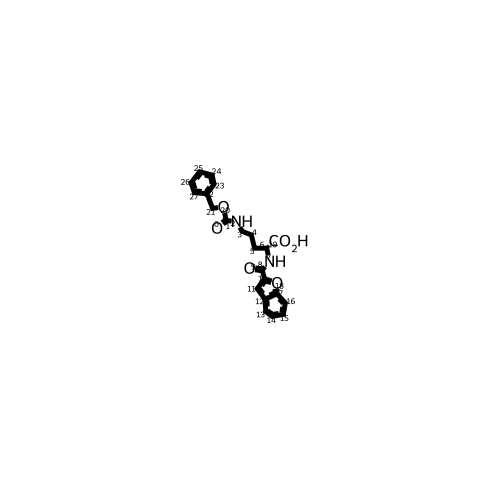 O=C(NCCC[C@H](NC(=O)c1cc2ccccc2o1)C(=O)O)OCc1ccccc1